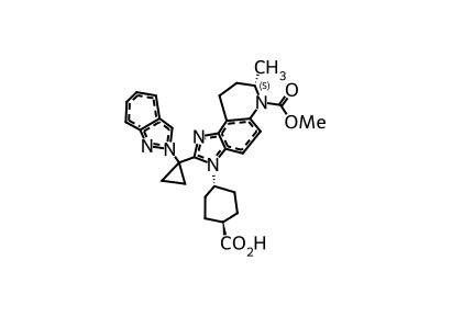 COC(=O)N1c2ccc3c(nc(C4(n5cc6ccccc6n5)CC4)n3[C@H]3CC[C@H](C(=O)O)CC3)c2CC[C@@H]1C